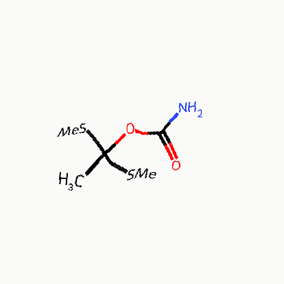 CSC(C)(OC(N)=O)SC